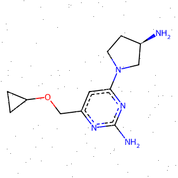 Nc1nc(COC2CC2)cc(N2CC[C@@H](N)C2)n1